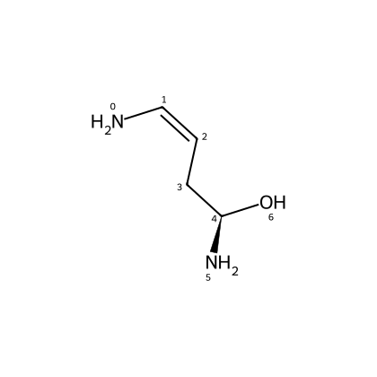 N/C=C\C[C@H](N)O